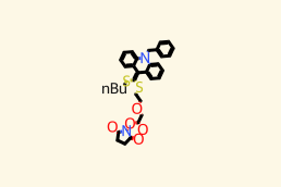 CCCCSC(SCCOCC(=O)ON1C(=O)CCC1=O)=C1c2ccccc2N(Cc2ccccc2)c2ccccc21